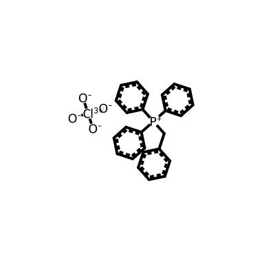 [O-][Cl+3]([O-])([O-])[O-].c1ccc(C[P+](c2ccccc2)(c2ccccc2)c2ccccc2)cc1